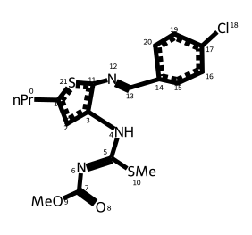 CCCc1cc(NC(=NC(=O)OC)SC)c(N=Cc2ccc(Cl)cc2)s1